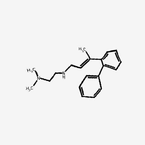 CC(=CCNCCN(C)C)c1ccccc1-c1ccccc1